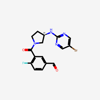 O=Cc1ccc(F)c(C(=O)N2CC[C@@H](Nc3ncc(Br)cn3)C2)c1